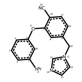 CCCc1cccc(Oc2cc(Cn3ccnc3)ccc2C#N)c1